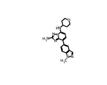 Cn1ncc2cc(-c3ccc(NC4CCOCC4)n4nc(N)nc34)ccc21